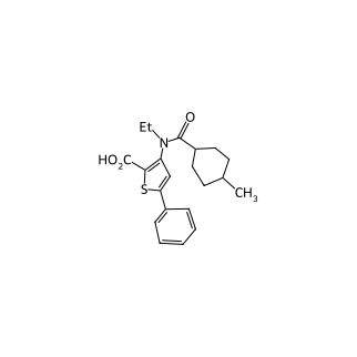 CCN(C(=O)C1CCC(C)CC1)c1cc(-c2ccccc2)sc1C(=O)O